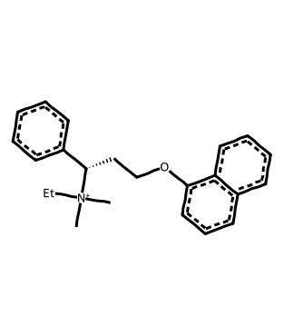 [CH2]C[N+](C)(C)[C@@H](CCOc1cccc2ccccc12)c1ccccc1